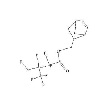 O=C(OCC1CC2C=CC1C2)C(F)(F)C(F)(CF)C(F)(F)F